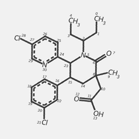 CCC(CC)N1C(=O)C(C)(CC(=O)O)CC(c2cccc(Cl)c2)C1c1ccc(Cl)cn1